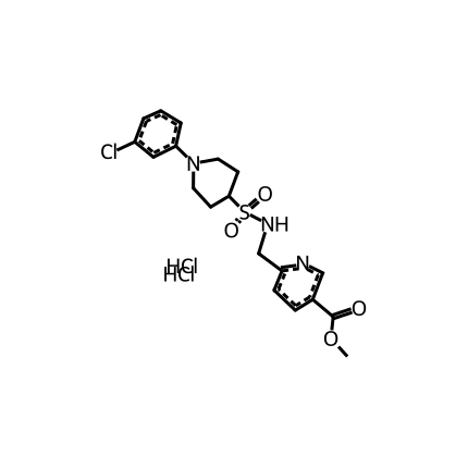 COC(=O)c1ccc(CNS(=O)(=O)C2CCN(c3cccc(Cl)c3)CC2)nc1.Cl.Cl